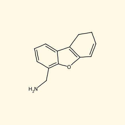 NCc1cccc2c3c(oc12)C=CCC3